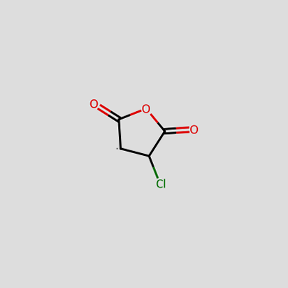 O=C1[CH]C(Cl)C(=O)O1